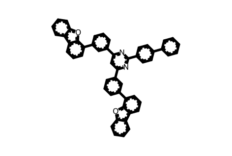 c1ccc(-c2ccc(-c3nc(-c4cccc(-c5cccc6c5oc5ccccc56)c4)cc(-c4cccc(-c5cccc6c5oc5ccccc56)c4)n3)cc2)cc1